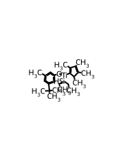 CC[SiH](CC)[Ti]([O]c1cc(C)cc(C(C)(C)C)c1)[C]1=C(C)C(C)=C(C)C1C